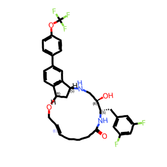 O=C1CCC/C=C/CO[C@@H]2C[C@H](NC[C@@H](O)[C@H](Cc3cc(F)cc(F)c3)N1)c1cc(-c3ccc(OC(F)(F)F)cc3)ccc12